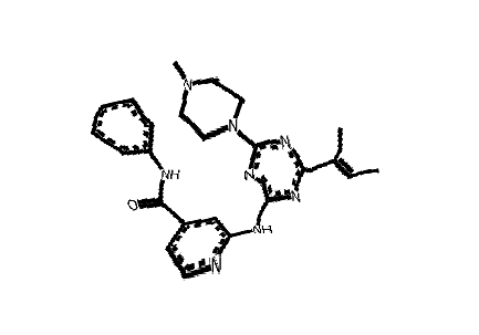 C/C=C(\C)c1nc(Nc2cc(C(=O)Nc3ccccc3)ccn2)nc(N2CCN(C)CC2)n1